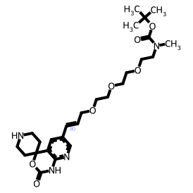 CN(CCOCCOCCOC/C=C/c1cnc2c(c1)C1(CCNCC1)OC(=O)N2)C(=O)OC(C)(C)C